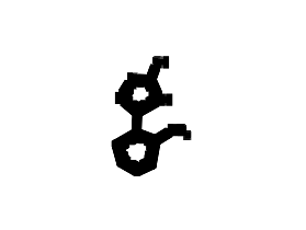 O=[N+]([O-])c1ccccc1-c1nnc(S)[nH]1